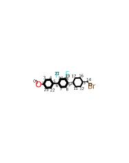 COc1ccc(-c2ccc([C@H]3CC[C@H](CBr)CC3)c(F)c2F)cc1